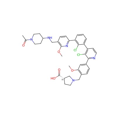 COc1cc(-c2nccc(-c3cccc(-c4ccc(CNC5CCN(C(C)=O)CC5)c(OC)n4)c3Cl)c2Cl)ccc1CN1CC[C@H](C(=O)O)C1